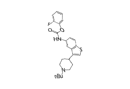 CCCCN1CCC(c2csc3ccc(NC(=O)Oc4ccccc4F)cc23)CC1